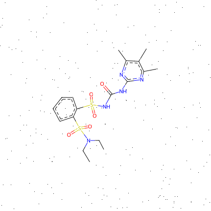 CCN(CC)S(=O)(=O)c1ccccc1S(=O)(=O)NC(=O)Nc1nc(C)c(C)c(C)n1